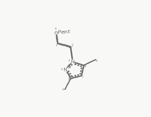 CCCCCCCn1nc(C)cc1C